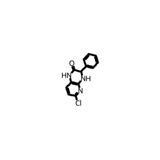 O=C1Nc2ccc(Cl)nc2NC1c1ccccc1